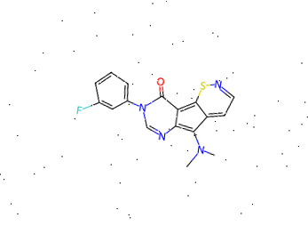 CN(C)c1c2ccnsc-2c2c(=O)n(-c3cccc(F)c3)cnc12